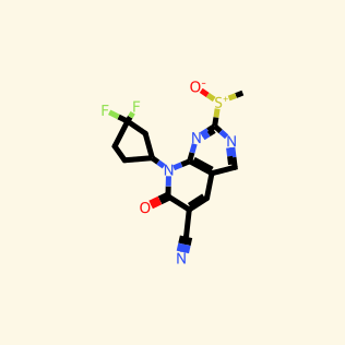 C[S+]([O-])c1ncc2cc(C#N)c(=O)n(C3CCC(F)(F)C3)c2n1